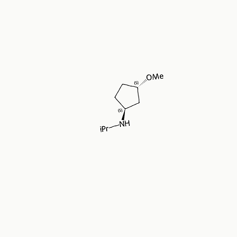 CO[C@H]1CC[C@H](NC(C)C)C1